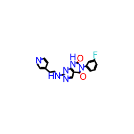 O=c1[nH]c2nc(NCCc3ccncc3)ncc2c(=O)n1-c1cccc(F)c1